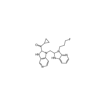 O=C(C1CC1)C1Nc2cnccc2N1CC1Nc2cccnc2N1CCCF